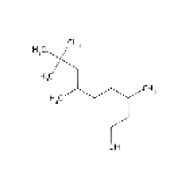 CC(CCO)CCC(C)CC(C)(C)C